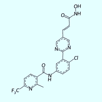 Cc1nc(C(F)(F)F)ccc1C(=O)Nc1ccc(Cl)c(-c2ncc(/C=C/C(=O)NO)cn2)c1